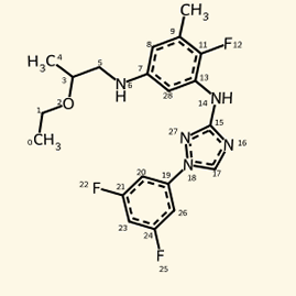 CCOC(C)CNc1cc(C)c(F)c(Nc2ncn(-c3cc(F)cc(F)c3)n2)c1